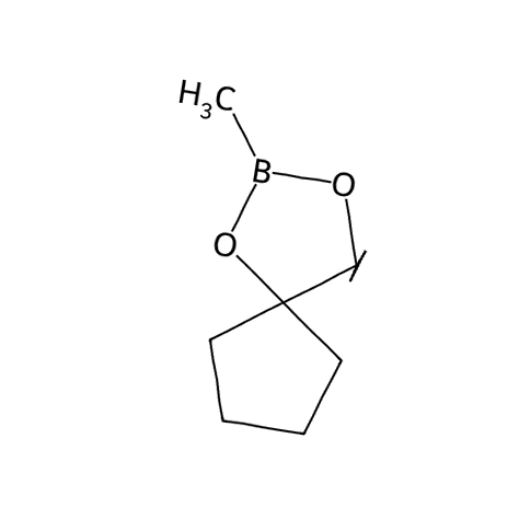 CB1OC2(CCCC2)C2(CCCC2)O1